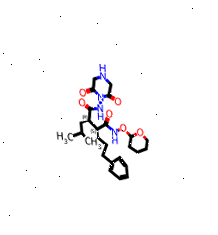 CC(C)C[C@@H](C(=O)NN1C(=O)CNCC1=O)[C@H](CCCc1ccccc1)C(=O)NOC1CCCCO1